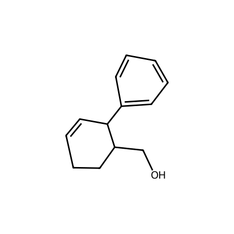 OCC1CCC=CC1c1ccccc1